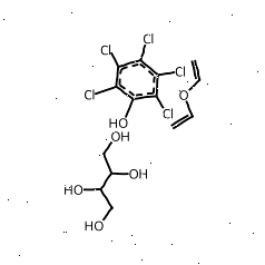 C=COC=C.OCC(O)C(O)CO.Oc1c(Cl)c(Cl)c(Cl)c(Cl)c1Cl